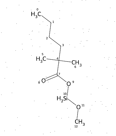 CCCCC(C)(C)C(=O)O[SiH2]OC